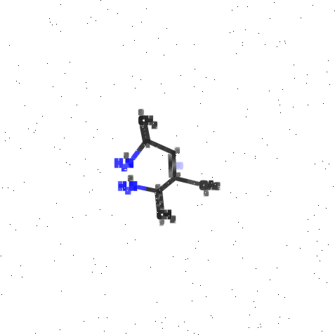 C=C(N)/C=C(/OC(C)=O)C(=C)N